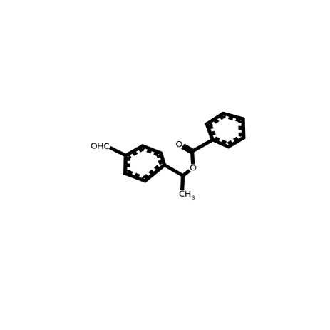 CC(OC(=O)c1ccccc1)c1ccc(C=O)cc1